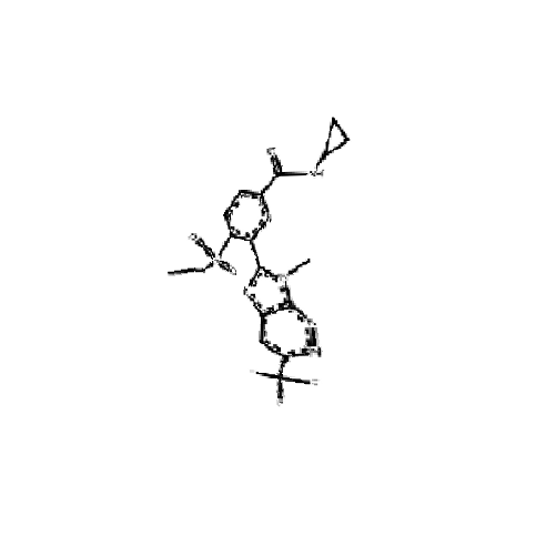 CCS(=O)(=O)c1ccc(C(=O)NC2CC2)nc1-c1nc2cc(C(F)(F)F)nnc2n1C